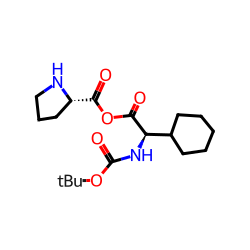 CC(C)(C)OC(=O)N[C@@H](C(=O)OC(=O)[C@@H]1CCCN1)C1CCCCC1